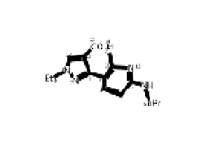 CCCNc1ccc(-c2nn(CC)cc2C(=O)O)c(F)n1